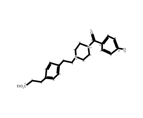 CCOC(=O)CCc1ccc(CCN2CCN(C(=O)c3ccc(Cl)cc3)CC2)cc1